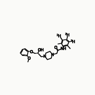 [2H]c1c([2H])c(C)c(NC(=O)CN2CCN(CC(O)COc3ccccc3OC)CC2)c(C)c1[2H]